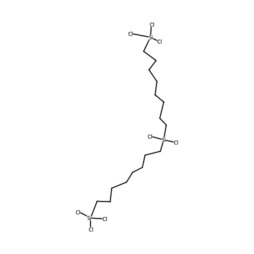 Cl[Si](Cl)(Cl)CCCCCCCC[Si](Cl)(Cl)CCCCCCCC[Si](Cl)(Cl)Cl